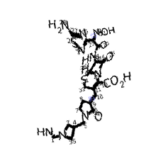 N=CN1CC(CN2CC/C(=C\C3=C(C(=O)O)N4C(=O)[C@@H](NC(=O)/C(=N\O)c5nsc(N)n5)[C@H]4SC3)C2=O)C1